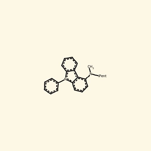 CCCC(C)N(C)c1cccc2c1c1ccccc1n2-c1ccccc1